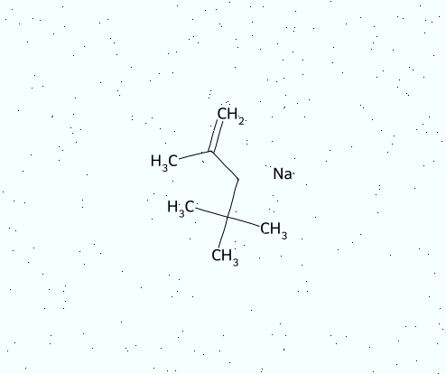 C=C(C)CC(C)(C)C.[Na]